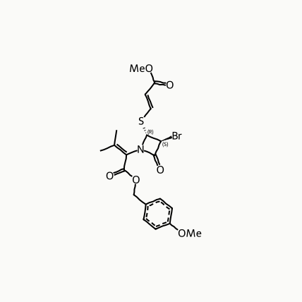 COC(=O)C=CS[C@@H]1[C@@H](Br)C(=O)N1C(C(=O)OCc1ccc(OC)cc1)=C(C)C